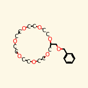 c1ccc(COCC2COCCOCCOCCOCCOCCOCCO2)cc1